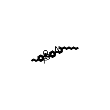 CCCCCCCc1ccc(-c2ccc(OC(=O)c3ccc(CCC)cc3F)cc2)nc1